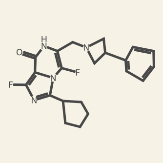 O=c1[nH]c(CN2CC(c3ccccc3)C2)c(F)n2c(C3CCCC3)nc(F)c12